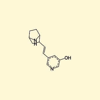 Oc1cncc(C=CC2CC3CCC2N3)c1